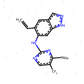 C=Cc1cc2cn[nH]c2cc1Nc1ncc(C(F)(F)F)c(NC)n1